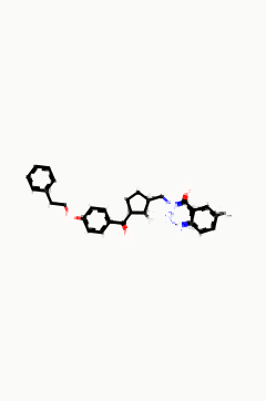 O=C(c1ccc(OCCc2ccccc2)cc1)C1CCC(Cn2nnc3ccc(C(F)(F)F)cc3c2=O)C1C(=O)O